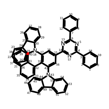 c1ccc(-c2nc(-c3ccccc3)nc(-c3cc(-n4c5ccccc5c5ccccc54)c(-c4cccc5ccccc45)c(-n4c5ccccc5c5ccccc54)c3)n2)cc1